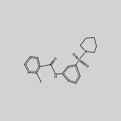 O=C(Nc1cccc(S(=O)(=O)N2CCCCC2)c1)c1cccnc1F